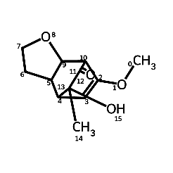 COC1=CC2C3CCOC3C1C(=O)C2(C)O